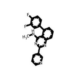 CNc1nc(-c2cccnc2)nc2cccc(-c3ccc(F)c(F)c3)c12